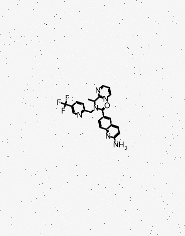 CC(c1ncccn1)N(Cc1ccc(C(F)(F)F)cn1)C(=O)c1ccc2nc(N)ccc2c1